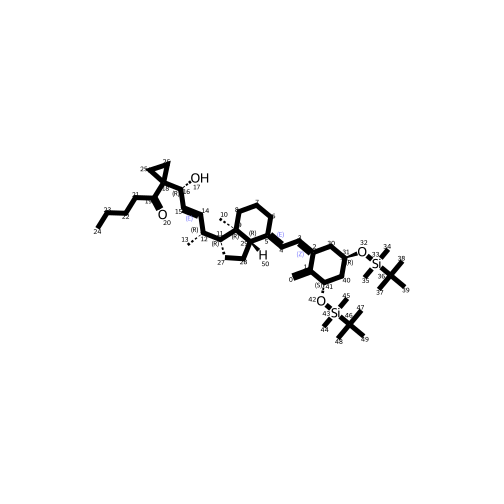 C=C1/C(=C\C=C2/CCC[C@]3(C)[C@@H]([C@H](C)/C=C/[C@@H](O)C4(C(=O)CCCC)CC4)CC[C@@H]23)C[C@@H](O[Si](C)(C)C(C)(C)C)C[C@@H]1O[Si](C)(C)C(C)(C)C